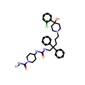 CCNC(=O)N1CCC(NC(=O)NCC(CCCN2CCC(O)(c3ccccc3Cl)CC2)(c2ccccc2)c2ccccc2)CC1